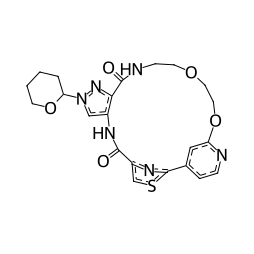 O=C1Nc2cn(C3CCCCO3)nc2C(=O)NCCOCCOc2cc(ccn2)-c2nc1cs2